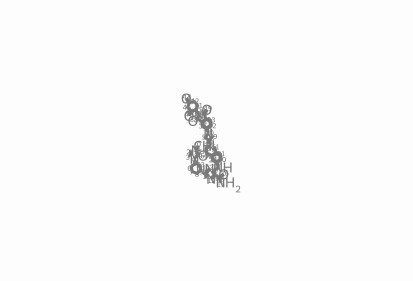 CN1CCN([C@@H]2CCCN(c3cnc(C(N)=O)c(Nc4ccc5c(c4)CCN(C4CN(c6ccc7c(c6)C(=O)N(C6CCC(=O)CC6=O)C7=O)C4)C5)n3)C2)C1=O